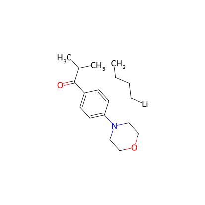 CC(C)C(=O)c1ccc(N2CCOCC2)cc1.[Li][CH2]CCC